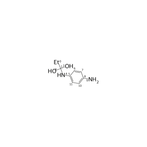 CCC(O)(O)Nc1ccc(N)cc1